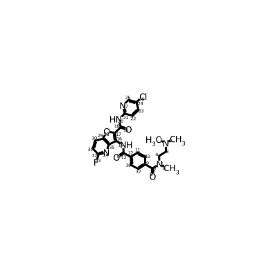 CN(C)CCN(C)C(=O)c1ccc(C(=O)Nc2c(C(=O)Nc3ccc(Cl)cn3)oc3ccc(F)nc23)cc1